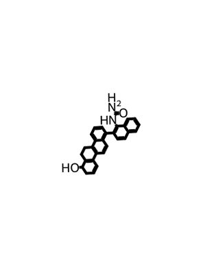 NC(=O)Nc1c(-c2cccc3c4c(ccc23)C2=C(CC4)C(O)CC=C2)ccc2ccccc12